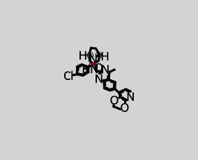 Cc1nc(N[C@@H]2C[C@H]3CC[C@@H](C2)N3C(=O)c2ccc(Cl)cc2)nc2ccc(-c3ccnc4c3OCCO4)cc12